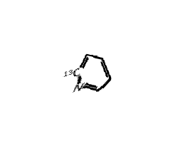 c1ccn[13cH]c1